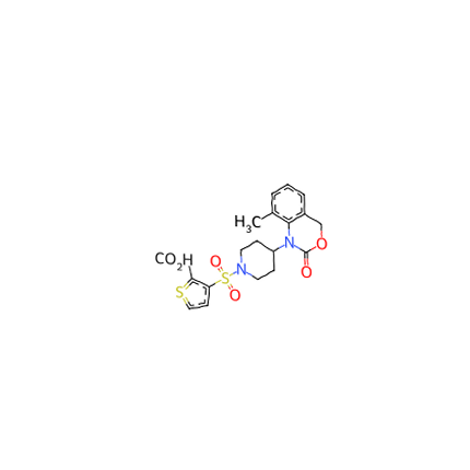 Cc1cccc2c1N(C1CCN(S(=O)(=O)c3ccsc3C(=O)O)CC1)C(=O)OC2